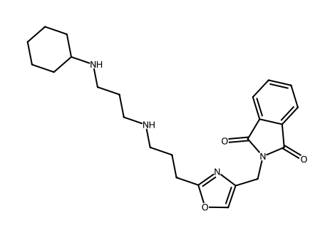 O=C1c2ccccc2C(=O)N1Cc1coc(CCCNCCCNC2CCCCC2)n1